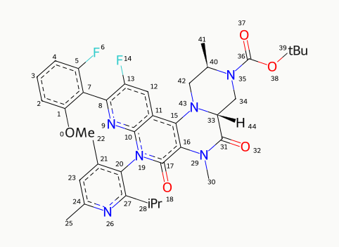 COc1cccc(F)c1-c1nc2c(cc1F)c1c(c(=O)n2-c2c(C)cc(C)nc2C(C)C)N(C)C(=O)[C@H]2CN(C(=O)OC(C)(C)C)[C@H](C)CN12